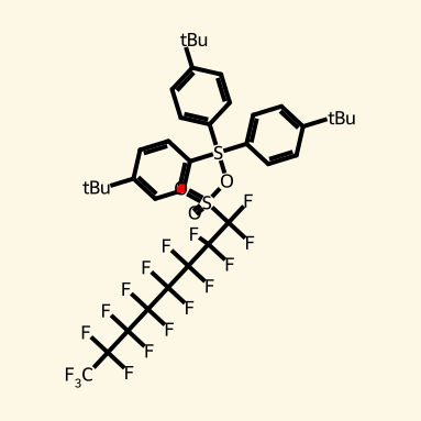 CC(C)(C)c1ccc(S(OS(=O)(=O)C(F)(F)C(F)(F)C(F)(F)C(F)(F)C(F)(F)C(F)(F)C(F)(F)C(F)(F)F)(c2ccc(C(C)(C)C)cc2)c2ccc(C(C)(C)C)cc2)cc1